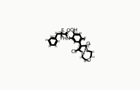 O=C(Nc1cc(-c2c(Cl)n3n(c2=O)CCOCC3)c(F)cc1O)C(F)(F)Cc1ccccc1